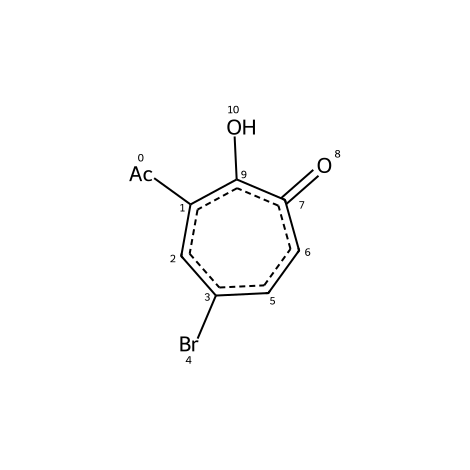 CC(=O)c1cc(Br)ccc(=O)c1O